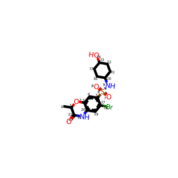 CC1Oc2cc(S(=O)(=O)NC3CCC(O)CC3)c(Br)cc2NC1=O